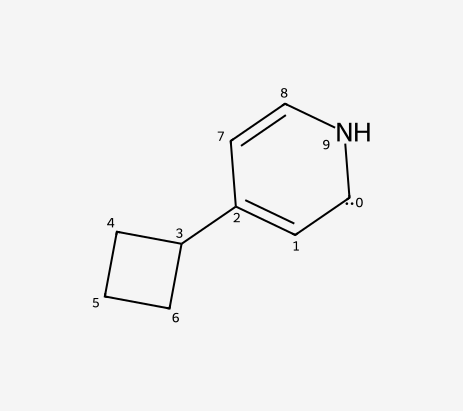 [C]1C=C(C2CCC2)C=CN1